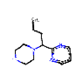 [CH2]CCC(c1ncccn1)N1CCNCC1